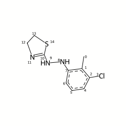 Cc1c(Cl)cccc1NNC1=NCCS1